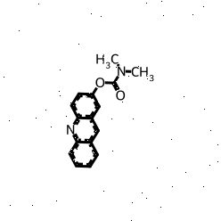 CN(C)C(=O)Oc1ccc2nc3ccccc3cc2c1